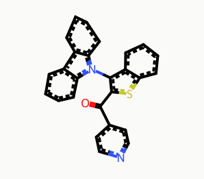 O=C(c1ccncc1)c1sc2ccccc2c1-n1c2ccccc2c2ccccc21